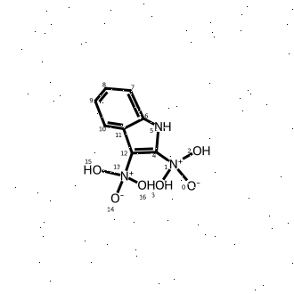 [O-][N+](O)(O)c1[nH]c2ccccc2c1[N+]([O-])(O)O